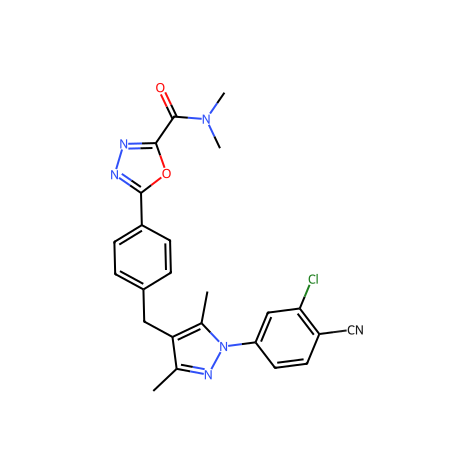 Cc1nn(-c2ccc(C#N)c(Cl)c2)c(C)c1Cc1ccc(-c2nnc(C(=O)N(C)C)o2)cc1